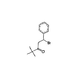 CC(C)(C)C(=O)CC(Br)c1ccccc1